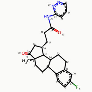 C[C@]12CCC3c4ccc(F)cc4CCC3C1[C@H](CCC(=O)Nc1cccnn1)CC2=O